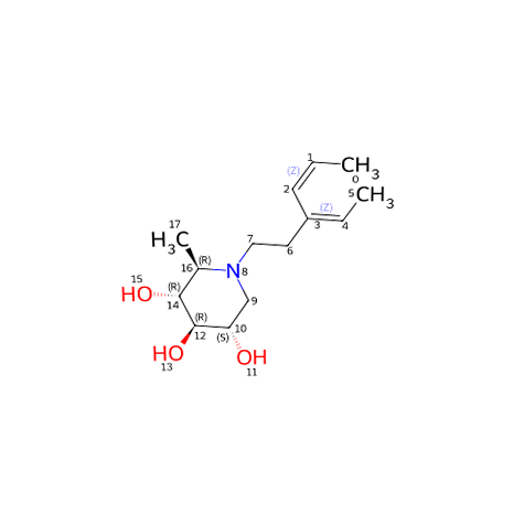 C/C=C\C(=C/C)CCN1C[C@H](O)[C@@H](O)[C@H](O)[C@H]1C